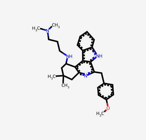 COc1ccc(Cc2nc3c(c4c2[nH]c2ccccc24)C(NCCCN(C)C)CC(C)(C)C3)cc1